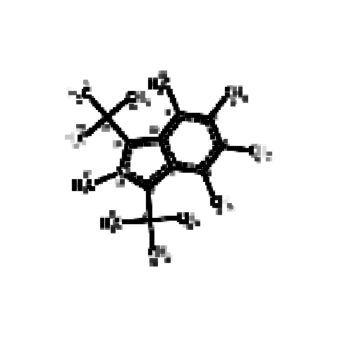 Cc1c(C)c(C)c2c(C(C)(C)C)n(C)c(C(C)(C)C)c2c1C